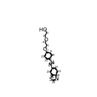 OCCOCCOc1ccc(N=Nc2ccc3ncsc3c2)cc1